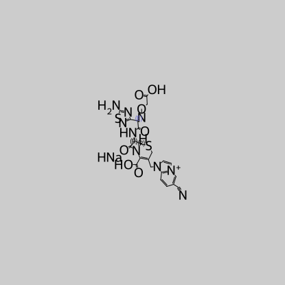 N#Cc1ccc2n(CC3=C(C(=O)O)N4C(=O)[C@@H](NC(=O)/C(=N/OCC(=O)O)c5nsc(N)n5)[C@H]4SC3)cc[n+]2c1.[NaH]